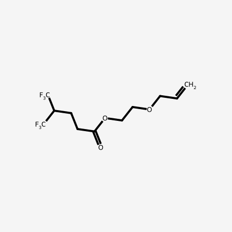 C=CCOCCOC(=O)CCC(C(F)(F)F)C(F)(F)F